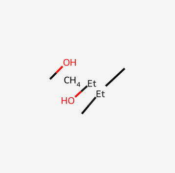 C.CC.CCC.CCO.CO